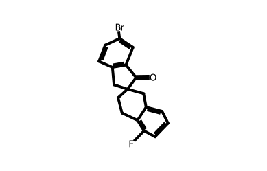 O=C1c2cc(Br)ccc2CC12CCc1c(F)cccc1C2